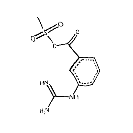 CS(=O)(=O)OC(=O)c1cccc(NC(=N)N)c1